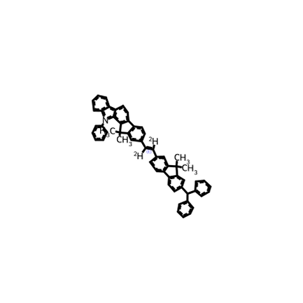 [2H]/C(=C(/[2H])c1ccc2c(c1)C(C)(C)c1c-2ccc2c3ccccc3n(-c3ccccc3)c12)c1ccc2c(c1)C(C)(C)c1cc(C(c3ccccc3)c3ccccc3)ccc1-2